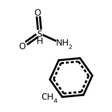 C.N[SH](=O)=O.c1ccccc1